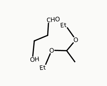 CCOC(C)OCC.O=CCCO